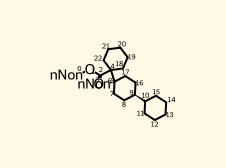 CCCCCCCCCOC(=O)C1([C@]2(CCCCCCCCC)CC[C@H](C3CCCCC3)CC2)CCCCC1